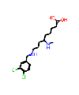 CNC(CCCCB(O)O)CCCNCc1ccc(Cl)c(Cl)c1